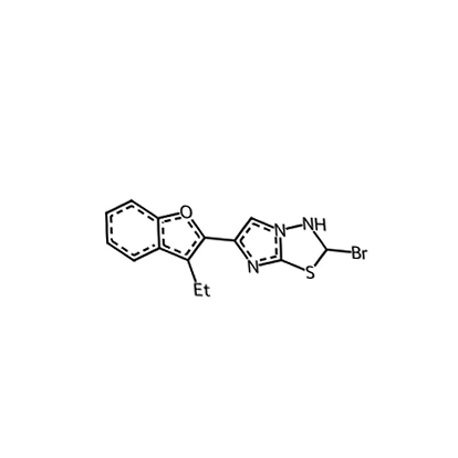 CCc1c(-c2cn3c(n2)SC(Br)N3)oc2ccccc12